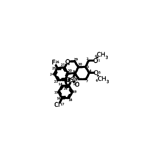 COCC1C(OC)CCC2(S(=O)(=O)c3ccc(Cl)cc3)c3c(F)ccc(F)c3OCC12